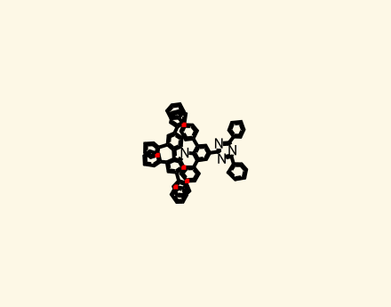 c1ccc(-c2ccc(-c3cc(-c4nc(-c5ccccc5)nc(-c5ccccc5)n4)cc(-c4ccc(-c5ccccc5)cc4)c3-n3c4cc(-c5ccccc5)cc(-c5ccccc5)c4c4c(-c5ccccc5)cc(-c5ccccc5)cc43)cc2)cc1